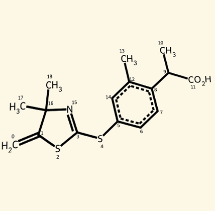 C=C1SC(Sc2ccc(C(C)C(=O)O)c(C)c2)=NC1(C)C